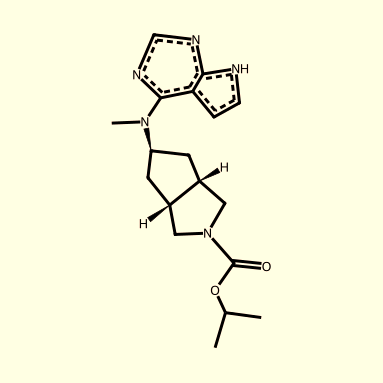 CC(C)OC(=O)N1C[C@H]2C[C@H](N(C)c3ncnc4[nH]ccc34)C[C@H]2C1